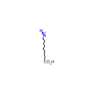 [N-]=[N+]=NCCCCCCCCCC(=O)O